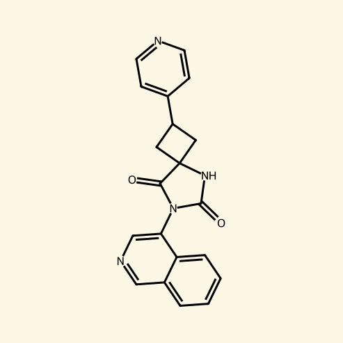 O=C1NC2(CC(c3ccncc3)C2)C(=O)N1c1cncc2ccccc12